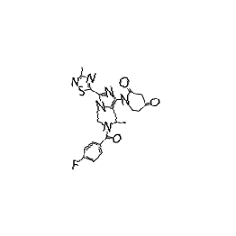 Cc1nsc(-c2nc(N3CCC(=O)CC3=O)c3n2CCN(C(=O)c2ccc(F)cc2)[C@@H]3C)n1